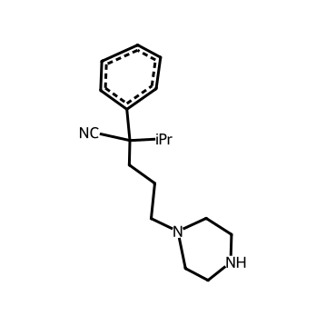 CC(C)C(C#N)(CCCN1CCNCC1)c1ccccc1